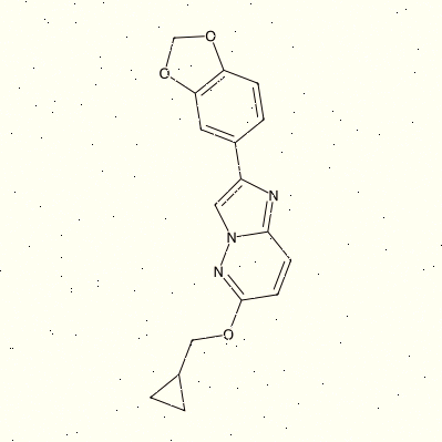 c1cc2c(cc1-c1cn3nc(OCC4CC4)ccc3n1)OCO2